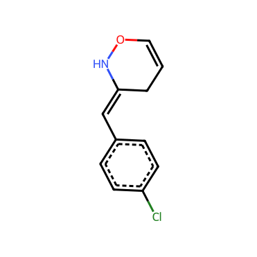 Clc1ccc(C=C2CC=CON2)cc1